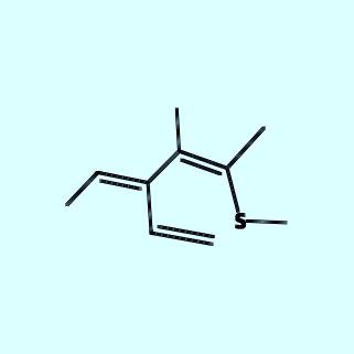 C=CC(=C\C)/C(C)=C(/C)SC